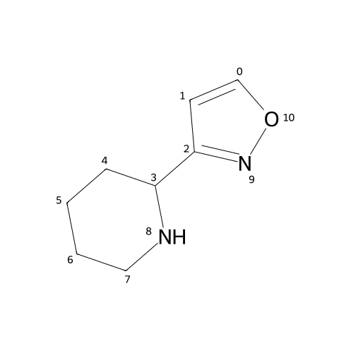 c1cc(C2CCCCN2)no1